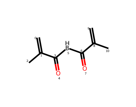 C=C(C)C(=O)BC(=O)C(=C)C